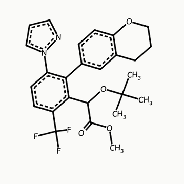 COC(=O)C(OC(C)(C)C)c1c(C(F)(F)F)ccc(-n2cccn2)c1-c1ccc2c(c1)CCCO2